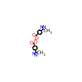 CC1(c2ccc(C(=O)OCOC(=O)c3ccc(C4(C)N=N4)cc3)cc2)N=N1